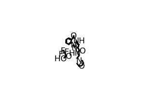 O=C(NCCN1CCOCC1)c1cc2[nH]c(=O)c3ccccc3n2n1.O=C(O)C(F)(F)F